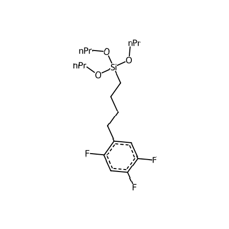 CCCO[Si](CCCCc1cc(F)c(F)cc1F)(OCCC)OCCC